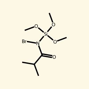 CO[Si](OC)(OC)N(Br)C(=O)C(C)C